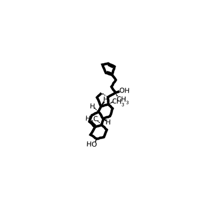 C[C@]12CC[C@H]3[C@@H](CC=C4C[C@@H](O)CC[C@@]43C)[C@@H]1CC[C@@H]2[C@](C)(O)CCC1=CCC=C1